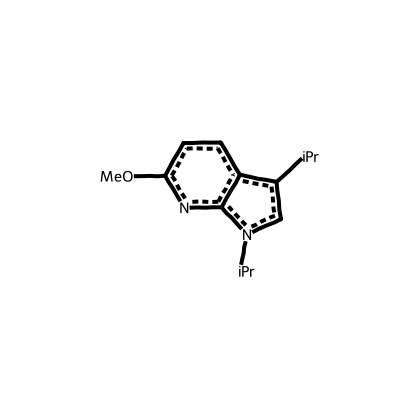 COc1ccc2c(C(C)C)cn(C(C)C)c2n1